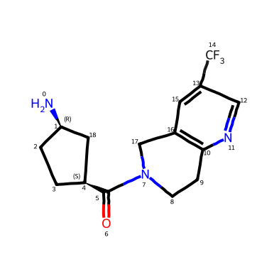 N[C@@H]1CC[C@H](C(=O)N2CCc3ncc(C(F)(F)F)cc3C2)C1